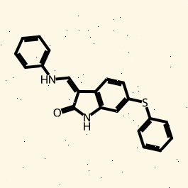 O=C1Nc2cc(Sc3ccccc3)ccc2C1=CNc1ccccc1